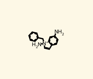 Nc1ccc2c(c1)[N+](N)(Cc1ccccc1)C=C2